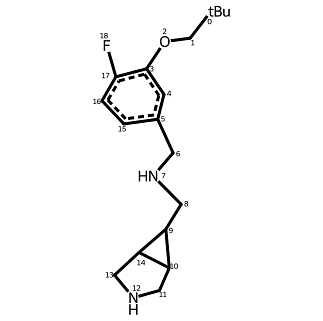 CC(C)(C)COc1cc(CNCC2C3CNCC23)ccc1F